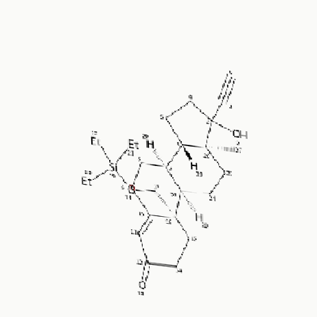 C#CC1(O)CC[C@H]2[C@@H]3CCC4=CC(=O)CC[C@]4(CO[Si](CC)(CC)CC)[C@@H]3CC[C@@]21C